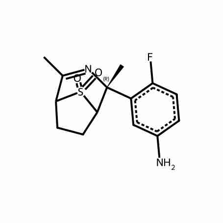 CC1=N[C@](C)(c2cc(N)ccc2F)C2CCC1S2(=O)=O